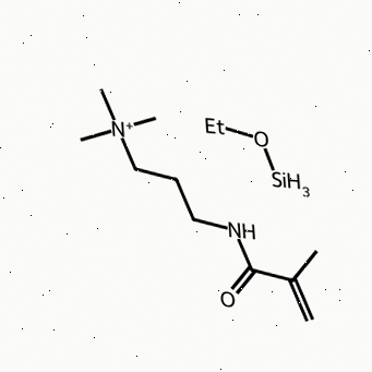 C=C(C)C(=O)NCCC[N+](C)(C)C.CCO[SiH3]